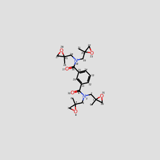 CC1(CN(CC2(C)CO2)C(=O)c2cccc(C(=O)N(CC3(C)CO3)CC3(C)CO3)c2)CO1